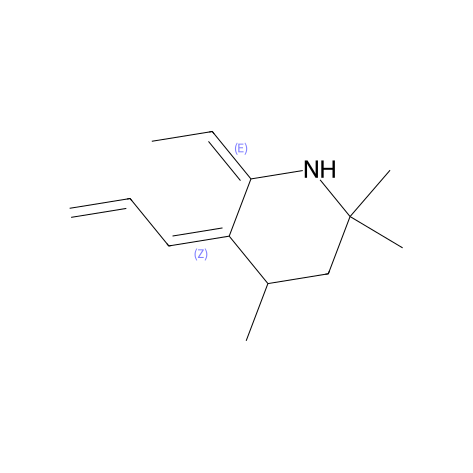 C=C/C=C1\C(=C/C)NC(C)(C)CC1C